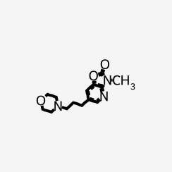 Cn1c(=O)oc2cc(CCCN3CCOCC3)cnc21